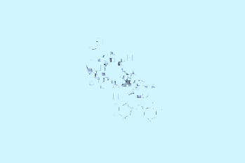 CCC(=O)O[C@H]1C[C@H]2OC[C@@]2(C)[C@H]2[C@H](C)[C@]3(O)C[C@H](OC(=O)[C@H](OC(=O)CC)C(c4ccccc4)c4ccccc4)C(C)=C([C@@H](C)C(=O)[C@]12C)C3(C)C